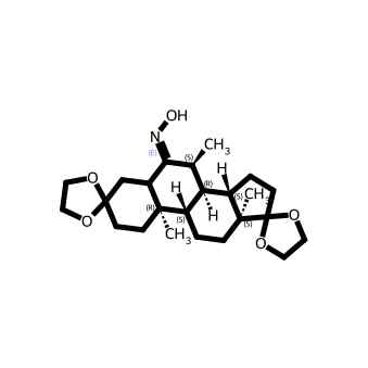 C[C@@H]1/C(=N\O)C2CC3(CC[C@]2(C)[C@H]2CC[C@@]4(C)[C@@H](CCC45OCCO5)[C@H]12)OCCO3